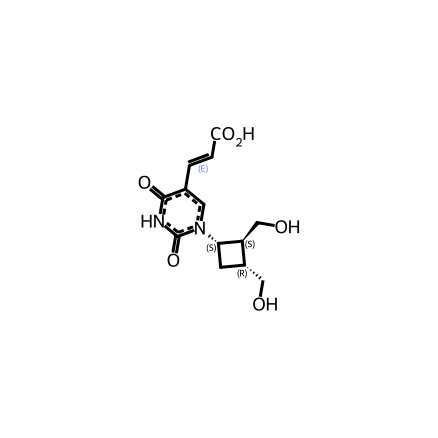 O=C(O)/C=C/c1cn([C@H]2C[C@@H](CO)[C@@H]2CO)c(=O)[nH]c1=O